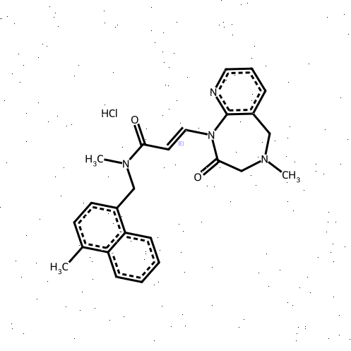 Cc1ccc(CN(C)C(=O)/C=C/N2C(=O)CN(C)Cc3cccnc32)c2ccccc12.Cl